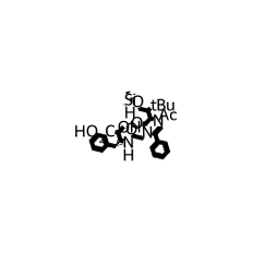 CC(=O)N1C=C(c2ccccc2)N(CC(=O)N[C@@H](Cc2ccccc2)C(O)C(=O)O)C(=O)C1C(CO[SiH](C)C)C(C)(C)C